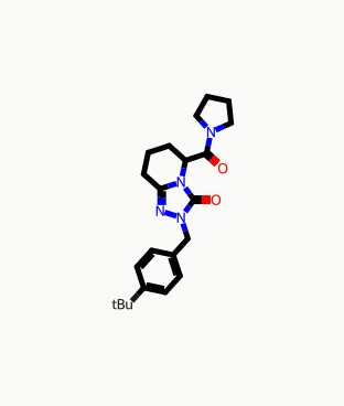 CC(C)(C)c1ccc(Cn2nc3n(c2=O)C(C(=O)N2CCCC2)CCC3)cc1